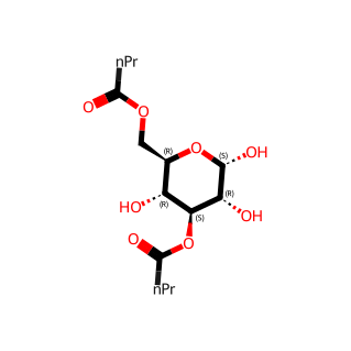 CCCC(=O)OC[C@H]1O[C@H](O)[C@H](O)[C@@H](OC(=O)CCC)[C@@H]1O